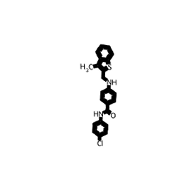 Cc1c(CNc2ccc(C(=O)Nc3ccc(Cl)cc3)cc2)sc2ccccc12